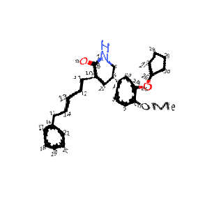 COc1ccc([C@H]2CNC(=O)[C@H](CCCCCc3ccccc3)C2)cc1OC1CCCC1